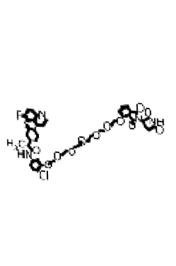 C[C@@H](C(=O)Nc1ccc(Cl)c(OCCOCCOCCOCCOCCOCCOc2cccc3c2C(=O)N(C2CCC(=O)NC2=O)C3=O)c1)[C@@H]1CC[C@H](c2ccnc3ccc(F)cc23)C(=S)C1